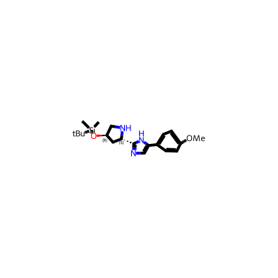 COc1ccc(-c2cnc([C@@H]3C[C@@H](O[Si](C)(C)C(C)(C)C)CN3)[nH]2)cc1